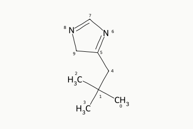 CC(C)(C)CC1=NC=NC1